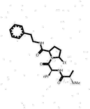 CCC[C@H](NC(=O)[C@H](C)NC)C(=O)N1C(CC)CCC1C(=O)NCCc1ccccc1